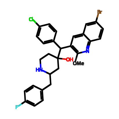 COc1nc2ccc(Br)cc2cc1C(c1ccc(Cl)cc1)C1(O)CCNC(Cc2ccc(F)cc2)C1